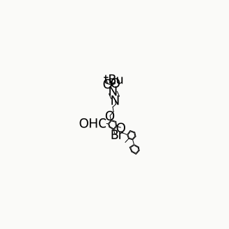 Cc1c(COc2cc(OCCCN3CCN(C(=O)OC(C)(C)C)CC3)c(C=O)cc2Br)cccc1-c1ccccc1